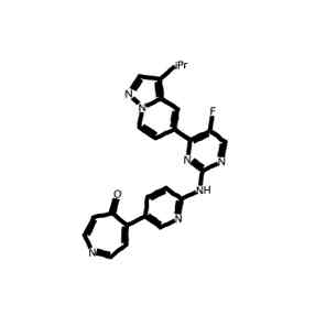 CC(C)c1cnn2ccc(-c3nc(Nc4ccc(-c5ccnccc5=O)cn4)ncc3F)cc12